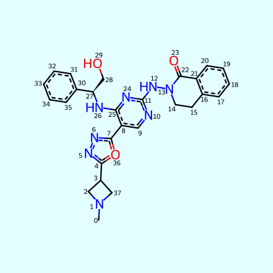 CN1CC(c2nnc(-c3cnc(NN4CCc5ccccc5C4=O)nc3N[C@H](CO)c3ccccc3)o2)C1